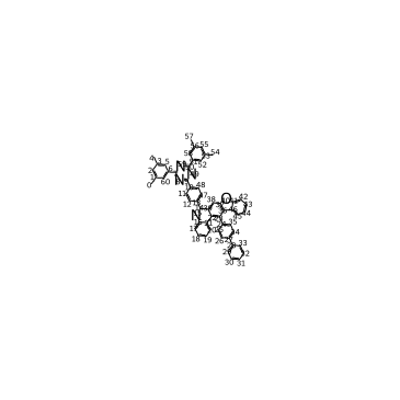 Cc1cc(C)cc(-c2nc(-c3ccc(-c4nc5ccccc5c5c(-c6ccc(-c7ccccc7)cc6)c6c(cc45)oc4ccccc46)cc3)nc(-c3cc(C)cc(C)c3)n2)c1